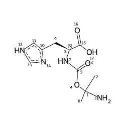 CC(C)(N)OC(=O)N[C@@H](Cc1c[nH]cn1)C(=O)O